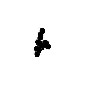 c1ccc(-c2ccc3cc(-c4cccc(-c5nc(-c6ccc(-c7ccccc7)c7ccccc67)nc(-c6cc7ccccc7c7ccccc67)n5)c4)ccc3c2)cc1